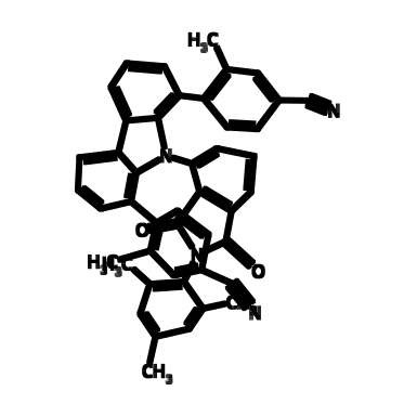 Cc1cc(C)c(N2C(=O)c3cccc(-n4c5c(-c6ccc(C#N)cc6C)cccc5c5cccc(-c6ccc(C#N)cc6C)c54)c3C2=O)c(C)c1